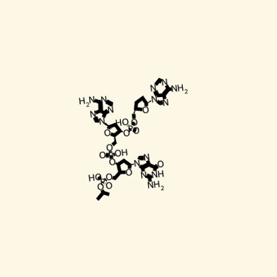 CC(C)OP(=O)(O)OCC1O[C@@H](n2cnc3c(=O)[nH]c(N)nc32)C[C@@H]1OP(=O)(O)OC[C@H]1O[C@@H](n2cnc3c(N)ncnc32)C[C@@H]1OP(=O)(O)OC[C@@H]1CC[C@H](n2cnc3c(N)ncnc32)O1